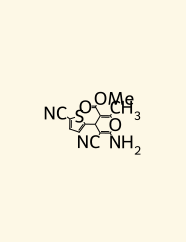 COC(=O)C1=C(C)OC(N)=C(C#N)C1c1ccc(C#N)s1